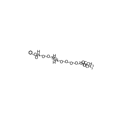 CC(C)(C)OC(=O)CCCOCCOCCOCCOCCN1C[C@@H]2C[C@H]1CN2CCOCCOCCNC(=O)OCc1ccccc1